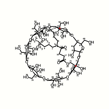 CN(C)CCCN(CCC[N+](C)(C)C)C(=O)CCC(=O)OCC1OC2OC3C(CO)OC(OC4C(CO)OC(OC5C(CO)OC(OC6C(CO)OC(OC7C(CO)OC(OC8CC(O)C(OC8CO)OC1C(O)C2O)C(O)C7O)C(O)C6O)C(O)C5O)C(O)C4O)C(O)C3O